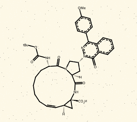 COc1ccc(-c2nn([C@@H]3C[C@H]4C(=O)N[C@]5(C(=O)O)C[C@H]5/C=C\CCCCC[C@H](NC(=O)OC(C)(C)C)C(=O)N4C3)c(=O)c3ccccc23)cc1